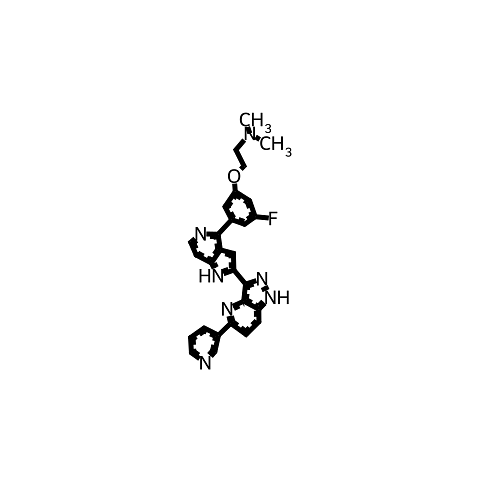 CN(C)CCOc1cc(F)cc(-c2nccc3[nH]c(-c4n[nH]c5ccc(-c6cccnc6)nc45)cc23)c1